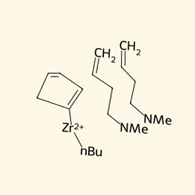 C=CCC[N-]C.C=CCC[N-]C.CCC[CH2][Zr+2][C]1=CC=CC1